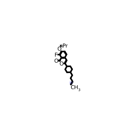 C/C=C/CCC1CCC(c2cc3ccc(OCCC)c(F)c3c(=O)o2)CC1